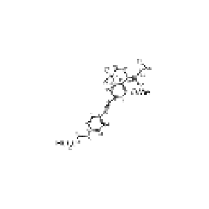 COc1cc(C#Cc2ccc(C=CC(=O)O)cc2)cc2c1C(N(C)C1CC1)CCC2(C)C